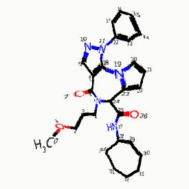 COCCCN1C(=O)c2cnn(-c3ccccc3)c2-n2cccc2C1C(=O)NC1CCCCCC1